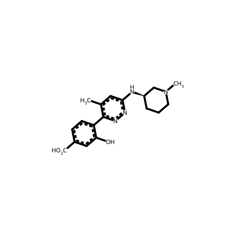 Cc1cc(N[C@@H]2CCCN(C)C2)nnc1-c1ccc(C(=O)O)cc1O